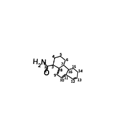 NC(=O)C1CCCC2C1=CC=C1C=CCCC12